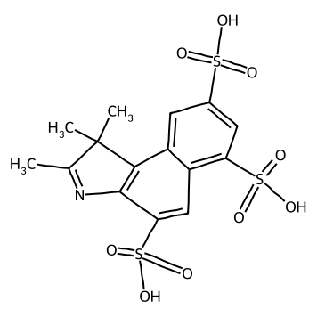 CC1=Nc2c(S(=O)(=O)O)cc3c(S(=O)(=O)O)cc(S(=O)(=O)O)cc3c2C1(C)C